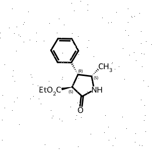 CCOC(=O)[C@@H]1C(=O)N[C@@H](C)[C@H]1c1ccccc1